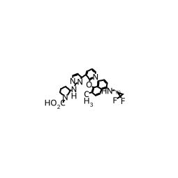 Cc1ccc2c(NC[C@@H]3CC3(F)F)cccc2c1Oc1ncccc1-c1ccnc(NC2CCCN(C(=O)O)C2)n1